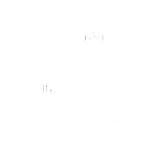 [CH2]CCCC(C)C(=N)OC=S